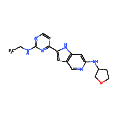 FC(F)(F)CNc1nccc(-c2cc3cnc(NC4CCOC4)cc3[nH]2)n1